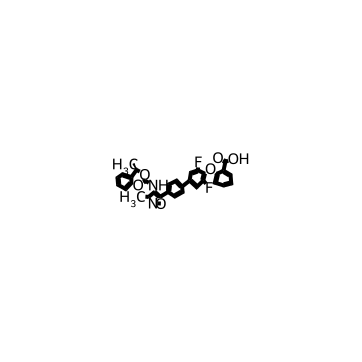 Cc1noc(-c2ccc(-c3cc(F)c(Oc4ccccc4C(=O)O)c(F)c3)cc2)c1NC(=O)O[C@H](C)c1ccccc1